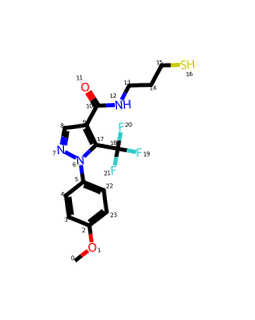 COc1ccc(-n2ncc(C(=O)NCCCS)c2C(F)(F)F)cc1